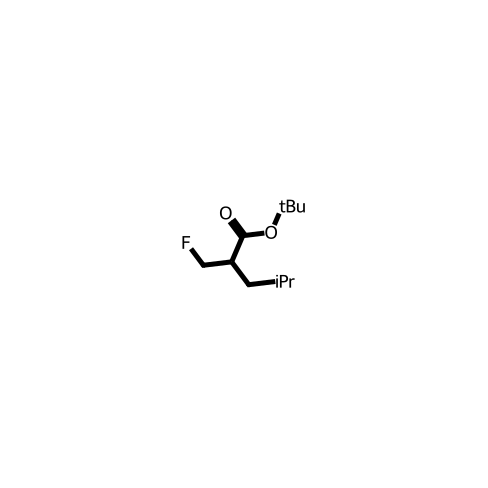 CC(C)CC(CF)C(=O)OC(C)(C)C